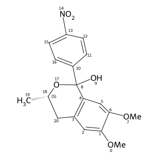 COc1cc2c(cc1OC)C(O)(c1ccc([N+](=O)[O-])cc1)O[C@@H](C)C2